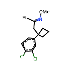 CCC(CC1(c2ccc(Cl)c(Cl)c2)CCC1)=NOC